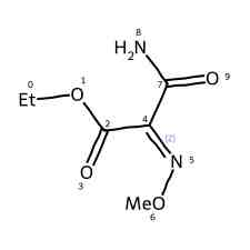 CCOC(=O)/C(=N\OC)C(N)=O